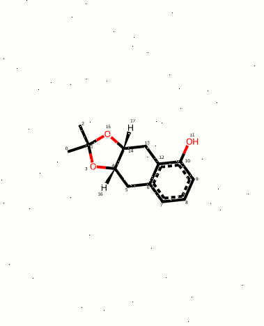 CC1(C)O[C@H]2Cc3cccc(O)c3C[C@H]2O1